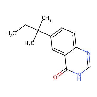 CCC(C)(C)c1ccc2nc[nH]c(=O)c2c1